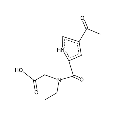 CCN(CC(=O)O)C(=O)c1cc(C(C)=O)c[nH]1